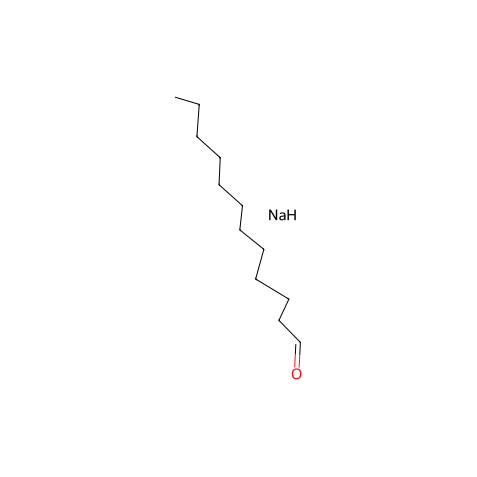 CCCCCCCCCCCC=O.[NaH]